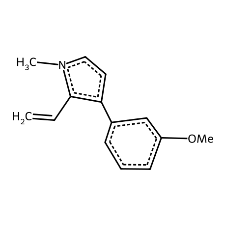 C=Cc1c(-c2cccc(OC)c2)ccn1C